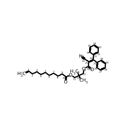 C=CCCCCCCCCC(=O)OCC(C)(C)COC(=O)C(C#N)=C(c1ccccc1)c1ccccc1